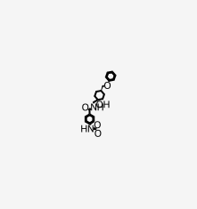 O=C(NC[C@]1(O)CC[C@@H](COc2ccccc2)CC1)c1ccc2[nH]c(=O)oc2c1